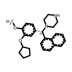 COc1ccc([C@@H](c2cccc3ccccc23)N2CCNCC2)cc1OC1CCCC1